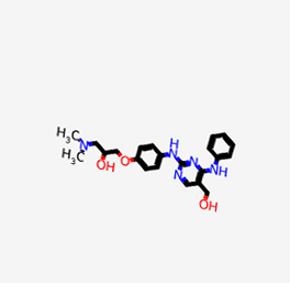 CN(C)CC(O)COc1ccc(Nc2ncc(CO)c(Nc3ccccc3)n2)cc1